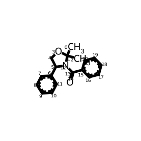 CC1(C)O[CH]C(c2ccccc2)N1C(=O)c1ccccc1